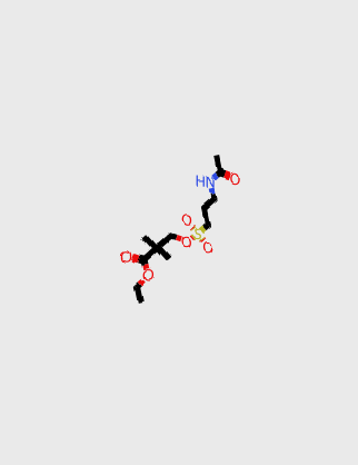 CCOC(=O)C(C)(C)COS(=O)(=O)CCCNC(C)=O